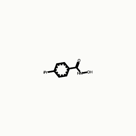 CC(C)c1ccc(C(=O)NO)cc1